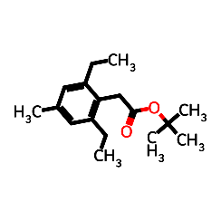 CCc1cc(C)cc(CC)c1CC(=O)OC(C)(C)C